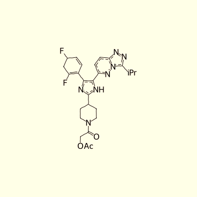 CC(=O)OCC(=O)N1CCC(c2nc(C3=C(F)CC(F)C=C3)c(-c3ccc4nnc(C(C)C)n4n3)[nH]2)CC1